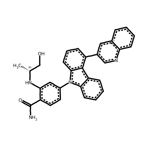 C[C@H](CO)Nc1cc(-n2c3ccccc3c3c(-c4cnc5ccccc5c4)cccc32)ccc1C(N)=O